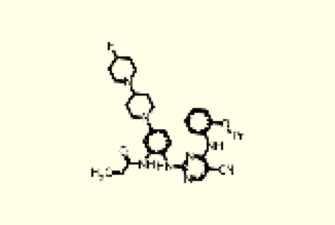 C=CC(=O)Nc1cc(N2CCC(N3CCC(F)CC3)CC2)ccc1Nc1ncc(C#N)c(Nc2ccccc2OC(C)C)n1